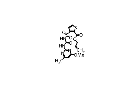 C=CCOC(=O)c1sccc1S(=O)(=O)NC(=O)Nc1nc(C)cc(OC)n1